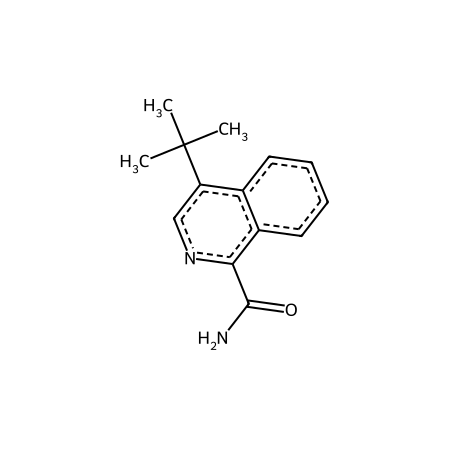 CC(C)(C)c1cnc(C(N)=O)c2ccccc12